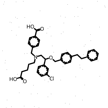 O=C(O)CCCCN(Cc1ccc(C(=O)O)cc1)CC(OCc1ccc(CCc2ccccc2)cc1)c1cccc(Cl)c1